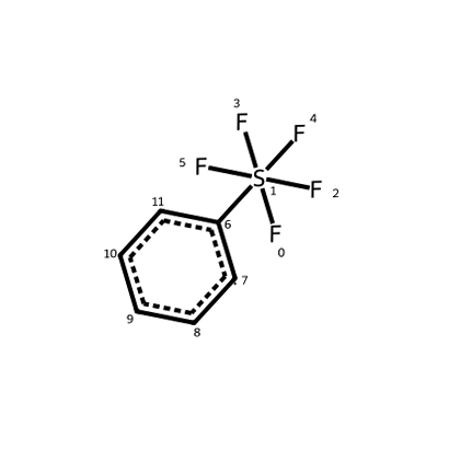 FS(F)(F)(F)(F)c1[c]cccc1